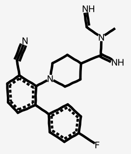 CN(C=N)C(=N)C1CCN(c2c(C#N)cccc2-c2ccc(F)cc2)CC1